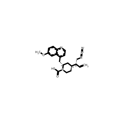 C=C[C@@H](CN=[N+]=[N-])[C@H]1CCN(C(=O)S)[C@H](Cc2ccnc3ccc(OC)cc23)C1